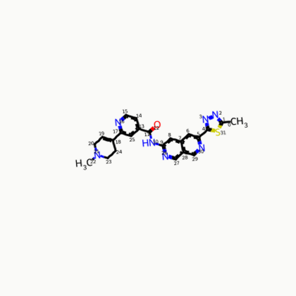 Cc1nnc(-c2cc3cc(NC(=O)c4ccnc(C5=CCN(C)CC5)c4)ncc3cn2)s1